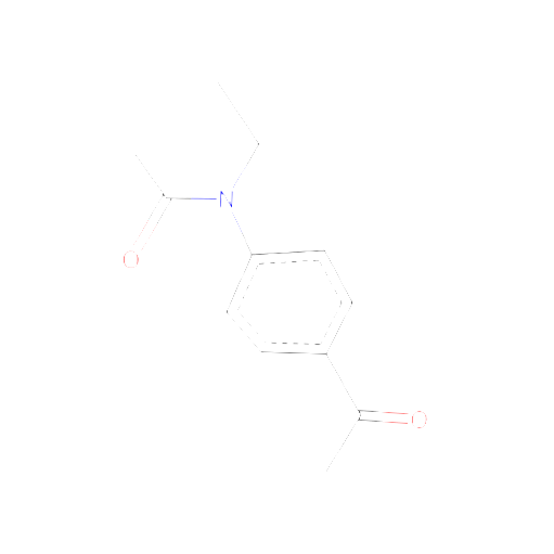 CCN(C(C)=O)c1ccc(C(C)=O)cc1